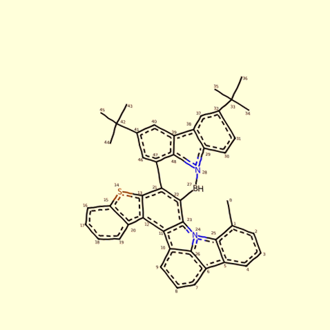 Cc1cccc2c3cccc4c5c6c(sc7ccccc76)c6c(c5n(c12)c34)Bn1c2ccc(C(C)(C)C)cc2c2cc(C(C)(C)C)cc-6c21